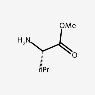 [CH2]OC(=O)[C@@H](N)CCC